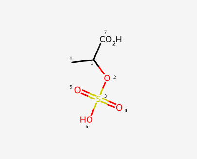 CC(OS(=O)(=O)O)C(=O)O